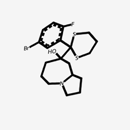 OC1(C2(c3cc(Br)ccc3F)SCCCS2)CCCN2CCCC2C1